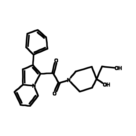 O=C(C(=O)N1CCC(O)(CO)CC1)c1c(-c2ccccc2)cc2ccccn12